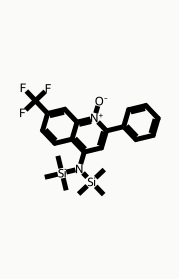 C[Si](C)(C)N(c1cc(-c2ccccc2)[n+]([O-])c2cc(C(F)(F)F)ccc12)[Si](C)(C)C